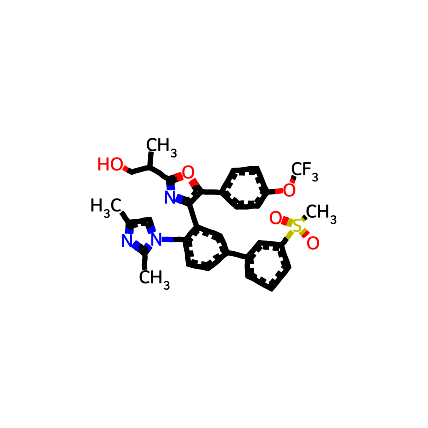 Cc1cn(-c2ccc(-c3cccc(S(C)(=O)=O)c3)cc2-c2nc(C(C)CO)oc2-c2ccc(OC(F)(F)F)cc2)c(C)n1